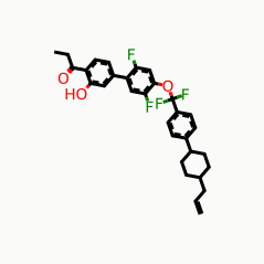 C=CCC1CCC(c2ccc(C(F)(F)Oc3cc(F)c(-c4ccc(C(=O)CC)c(O)c4)cc3F)cc2)CC1